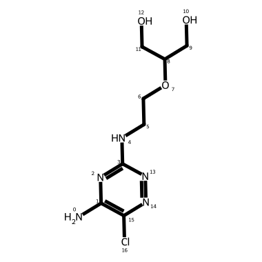 Nc1nc(NCCOC(CO)CO)nnc1Cl